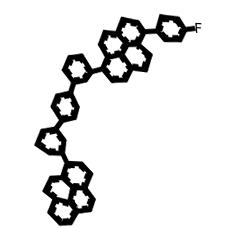 Fc1ccc(-c2ccc3ccc4c(-c5cccc(-c6ccc(-c7cccc(-c8ccc9ccc%10cccc%11ccc8c9c%10%11)c7)cc6)c5)ccc5ccc2c3c54)cc1